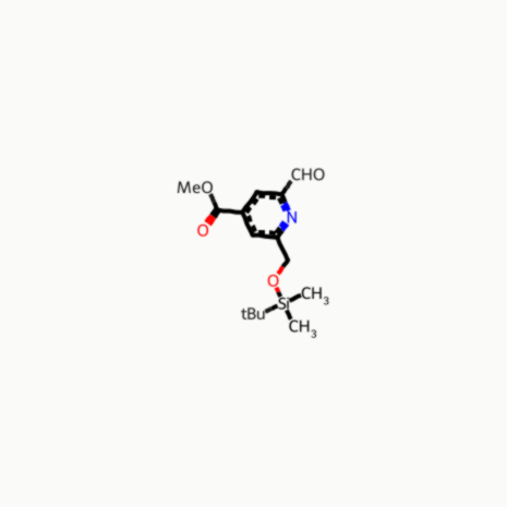 COC(=O)c1cc(C=O)nc(CO[Si](C)(C)C(C)(C)C)c1